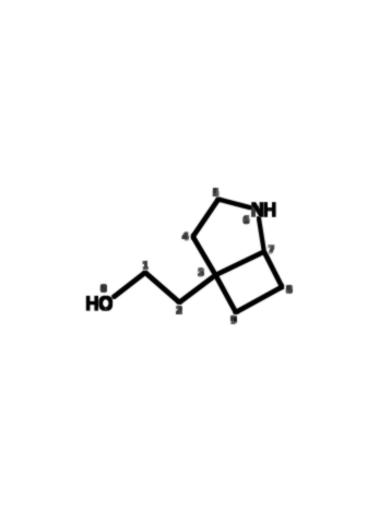 OCCC12CCNC1CC2